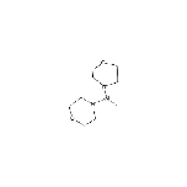 [CH3][Al]([N]1CCOCC1)[N]1CCOCC1